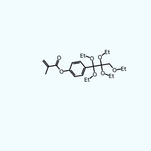 C=C(C)C(=O)Oc1ccc(C(OCC)(OCC)C(COCC)(OCC)OCC)cc1